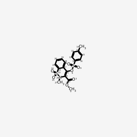 COC(=O)C1=C(OS(=O)(=O)c2ccc(C)cc2)c2ccccc2S(=O)(=O)N1C